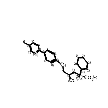 CCC(COc1ccc(-c2ccc(C)cn2)cc1)C[C@@](F)(C(=O)O)C1CCCCC1